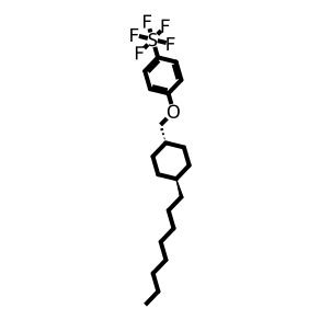 CCCCCCCC[C@H]1CC[C@H](COc2ccc(S(F)(F)(F)(F)F)cc2)CC1